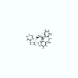 O=C(O)C1CCCCN1CC1CC1N1C2=CC=CCC2=CCc2ccccc21